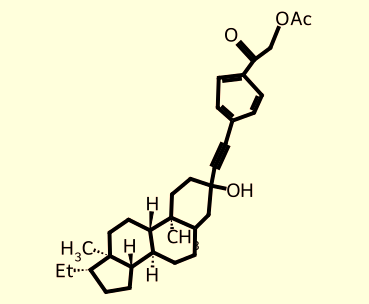 CC[C@H]1CC[C@H]2[C@@H]3CCC4CC(O)(C#Cc5ccc(C(=O)COC(C)=O)cc5)CC[C@]4(C)[C@H]3CC[C@]12C